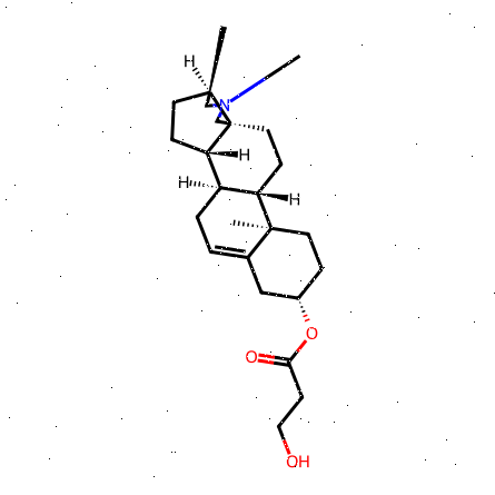 C[C@H]1[C@H]2CC[C@H]3[C@@H]4CC=C5C[C@@H](OC(=O)CCO)CC[C@]5(C)[C@H]4CC[C@]23CN1C